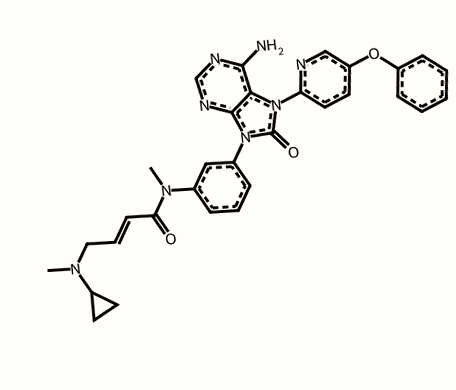 CN(C(=O)C=CCN(C)C1CC1)c1cccc(-n2c(=O)n(-c3ccc(Oc4ccccc4)cn3)c3c(N)ncnc32)c1